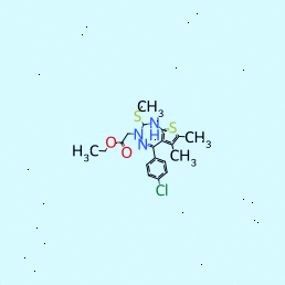 CCOC(=O)CN1N=C(c2ccc(Cl)cc2)c2c(sc(C)c2C)NC1SC